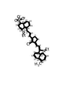 CCn1/c(=C/C=C2\CCC(/C=C/C3=[N+](CC)c4ccc(S(=O)(=O)[O-])c5cccc3c45)=C2Cl)c2cccc3c(C)ccc1c32